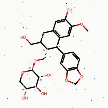 COc1cc2c(cc1O)CC(CO)[C@@H](CO[C@@H]1OC[C@@H](O)[C@H](O)[C@H]1O)C2c1ccc2c(c1)OCO2